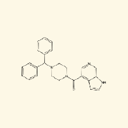 O=C(c1cncc2[nH]ccc12)N1CCN(C(c2ccccc2)c2ccccc2)CC1